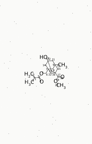 C=C(C)C(=O)OCC12CC3(C)CC(O)(C1)CC(C(=O)OC)(C3)C2